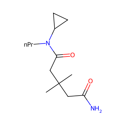 CCCN(C(=O)CC(C)(C)CC(N)=O)C1CC1